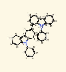 C1=CCC(n2c3c(c4c2CCC(c2cccc5c6ccccc6n(-c6ccccc6)c25)=C4)CCC=C3)C=C1